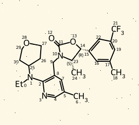 CCN(c1ncc(C)cc1CN1C(=O)O[C@H](c2cc(C)cc(C(F)(F)F)c2)[C@@H]1C)C1CCOCC1